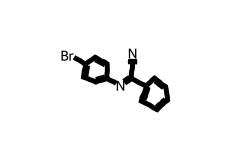 N#C/C(=N\c1ccc(Br)cc1)c1ccccc1